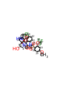 CNC(=O)[C@@H]1C[C@@H](O)C[N+]1(C)C1(c2cccc3c2OCC3)C(=O)N(S(=O)(=O)c2ccc(OC)cc2OC(F)(F)F)c2ccc(Cl)cc21